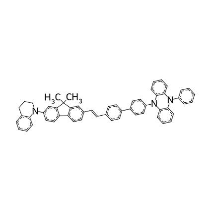 CC1(C)c2cc(/C=C/c3ccc(-c4ccc(N5c6ccccc6N(c6ccccc6)c6ccccc65)cc4)cc3)ccc2-c2ccc(N3CCCc4ccccc43)cc21